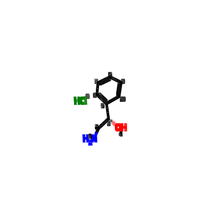 Cl.NC[C@@H](O)c1ccccc1